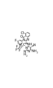 C[C@H](Nc1nc(N)nc(N)c1C#N)c1nc2cccc(Cl)c2c(=O)n1-c1cc(F)cc(OC(F)(F)F)c1